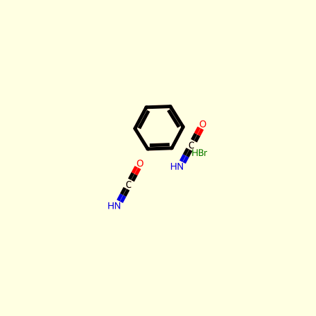 Br.N=C=O.N=C=O.c1ccccc1